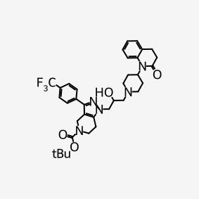 CC(C)(C)OC(=O)N1CCc2c(c(-c3ccc(C(F)(F)F)cc3)nn2CC(O)CN2CCC(N3C(=O)CCc4ccccc43)CC2)C1